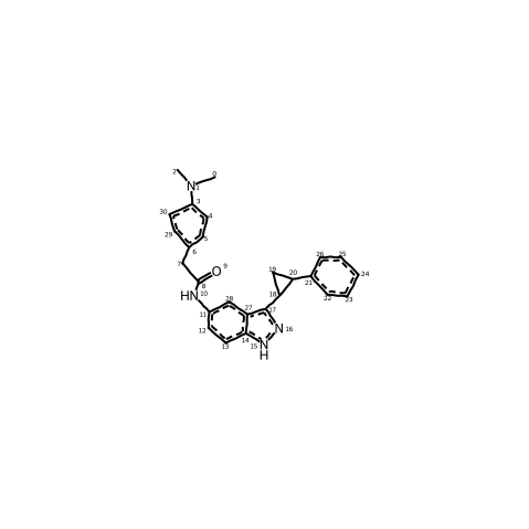 CN(C)c1ccc(CC(=O)Nc2ccc3[nH]nc(C4CC4c4ccccc4)c3c2)cc1